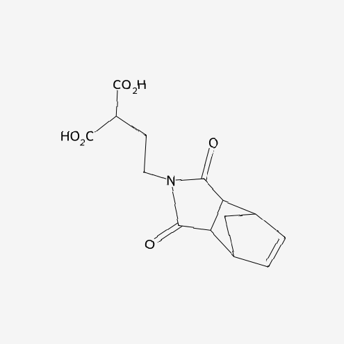 O=C(O)C(CCN1C(=O)C2C3C=CC(C3)C2C1=O)C(=O)O